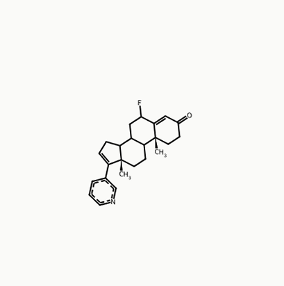 C[C@]12CCC(=O)C=C1C(F)CC1C2CC[C@]2(C)C(c3cccnc3)=CCC12